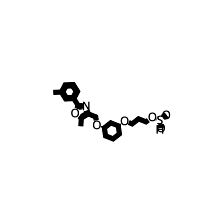 Cc1cccc(-c2nc(CO[C@H]3CCC[C@@H](OCCCO[SH](=O)=O)C3)c(C)o2)c1